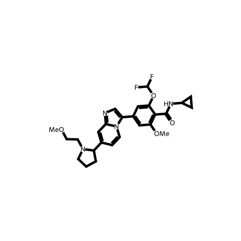 COCCN1CCCC1c1ccn2c(-c3cc(OC)c(C(=O)NC4CC4)c(OC(F)F)c3)cnc2c1